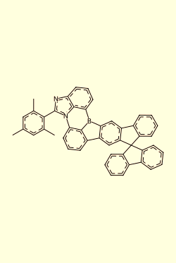 Cc1cc(C)c(-c2nc3cccc4c3n2-c2cccc3c2B4c2cc4c(cc2-3)C2(c3ccccc3-c3ccccc32)c2ccccc2-4)c(C)c1